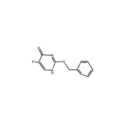 O=c1nc(OCc2ccccc2)[nH]cc1F